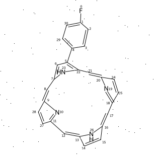 Fc1ccc(-c2cc3cc4nc(cc5ccc(cc6nc(cc2[nH]3)C=C6)[nH]5)C=C4)cc1